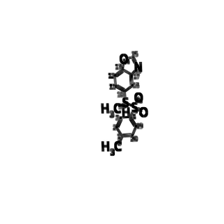 Cc1ccc(S(=O)(=O)[SH](C)c2ccc3ocnc3c2)cc1